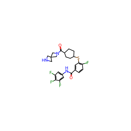 O=C(Nc1cc(F)c(F)c(F)c1)c1ccc(F)c(SC2CCC(C(=O)N3CC4(CNC4)C3)CC2)c1